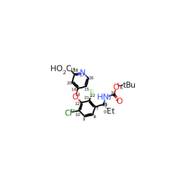 CC[C@@H](NC(=O)OC(C)(C)C)c1ccc(Cl)c(Oc2ccnc(C(=O)O)c2)c1F